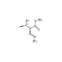 C[C@@H](O)[C@H](N=NN)C(=O)ON